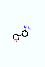 Nc1cccc(C2=CC=COC2)c1